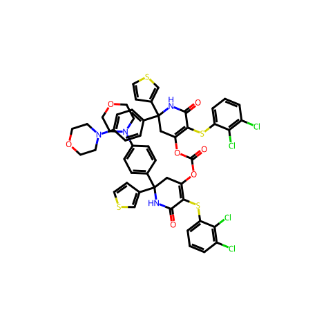 O=C(OC1=C(Sc2cccc(Cl)c2Cl)C(=O)NC(c2ccc(N3CCOCC3)cc2)(c2ccsc2)C1)OC1=C(Sc2cccc(Cl)c2Cl)C(=O)NC(c2ccc(N3CCOCC3)cc2)(c2ccsc2)C1